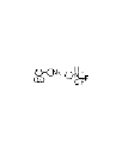 O=C(NC1CCC(CCN2CCC(c3cccc4c3OCO4)CC2)CC1)C(F)(F)F